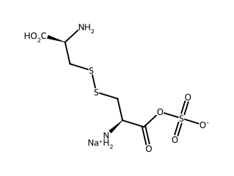 N[C@@H](CSSC[C@H](N)C(=O)OS(=O)(=O)[O-])C(=O)O.[Na+]